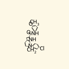 C=C1C=Cc2cc(C(=O)Nc3cccc(OC)c3)[nH]c2N1c1ccc(Cl)cc1